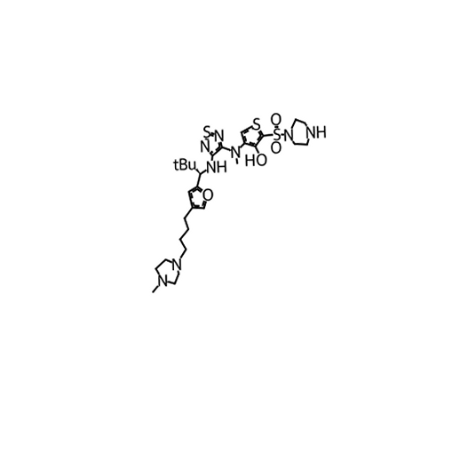 CN1CCN(CCCCc2coc([C@H](Nc3nsnc3N(C)c3csc(S(=O)(=O)N4CCNCC4)c3O)C(C)(C)C)c2)CC1